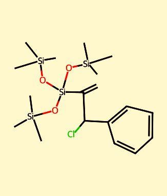 C=C(C(Cl)c1ccccc1)[Si](O[Si](C)(C)C)(O[Si](C)(C)C)O[Si](C)(C)C